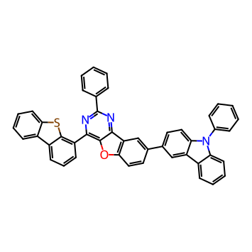 c1ccc(-c2nc(-c3cccc4c3sc3ccccc34)c3oc4ccc(-c5ccc6c(c5)c5ccccc5n6-c5ccccc5)cc4c3n2)cc1